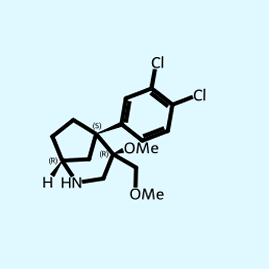 COC[C@]1(OC)CN[C@@H]2CC[C@@]1(c1ccc(Cl)c(Cl)c1)C2